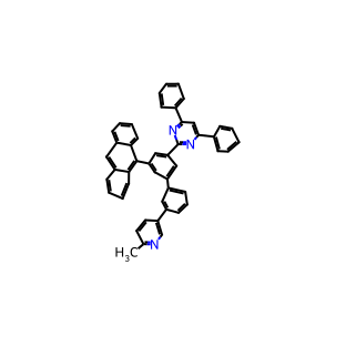 Cc1ccc(-c2cccc(-c3cc(-c4nc(-c5ccccc5)cc(-c5ccccc5)n4)cc(-c4c5ccccc5cc5ccccc45)c3)c2)cn1